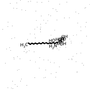 CCCCCCCCCCCCCC=CC(O)C(N)COP(=O)(O)OP(=O)(O)O